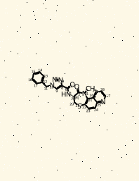 CN1C(=O)[C@@H](NC(=O)c2cn(Cc3ccccc3)nn2)CSc2ccc3ncccc3c21